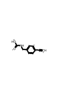 C#Cc1ccc(CNC(=O)O)cc1